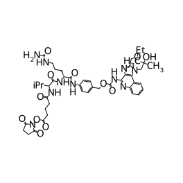 CCOCc1nc2c(NC(=O)OCc3ccc(NC(=O)[C@H](CCCNC(N)=O)NC(=O)C(NC(=O)CCCC(=O)ON4C(=O)CCC4=O)C(C)C)cc3)nc3ccccc3c2n1CC(C)(C)O